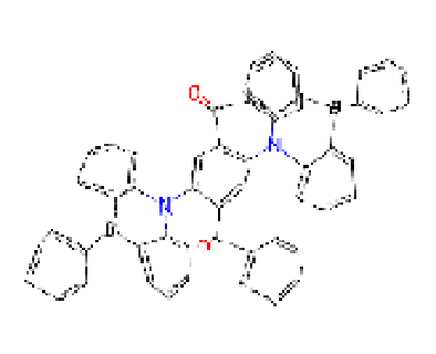 O=C(c1ccccc1)c1cc(N2c3ccccc3B(c3ccccc3)c3ccccc32)c(C(=O)c2ccccc2)cc1N1c2ccccc2B(c2ccccc2)c2ccccc21